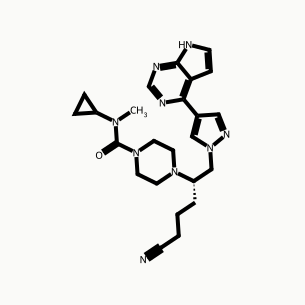 CN(C(=O)N1CCN([C@@H](CCCC#N)Cn2cc(-c3ncnc4[nH]ccc34)cn2)CC1)C1CC1